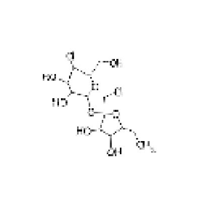 CCC1OC(CCl)(OC2OC(CO)C(Cl)C(O)C2O)C(O)C1O